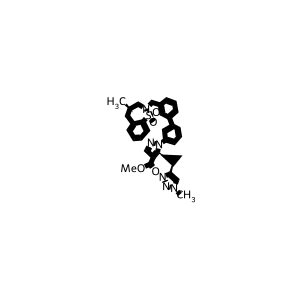 COC(=O)c1cnn(-c2cccc(-c3cccc(CN4C[C@H](C)Cc5ccccc5S4(=O)=O)c3)c2)c1[C@@H]1C[C@H]1c1cn(C)nn1